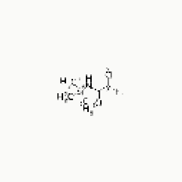 C[Si](C)(C)NC(=O)C(F)Cl